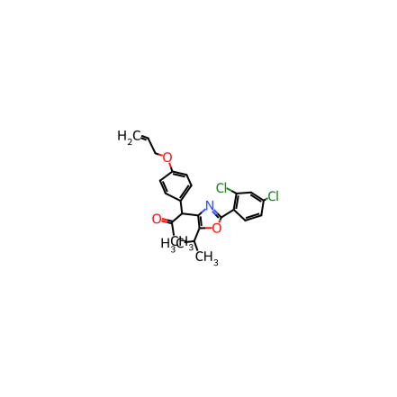 C=CCOc1ccc(C(C(C)=O)c2nc(-c3ccc(Cl)cc3Cl)oc2C(C)C)cc1